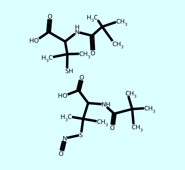 CC(C)(C)C(=O)NC(C(=O)O)C(C)(C)S.CC(C)(C)C(=O)NC(C(=O)O)C(C)(C)SN=O